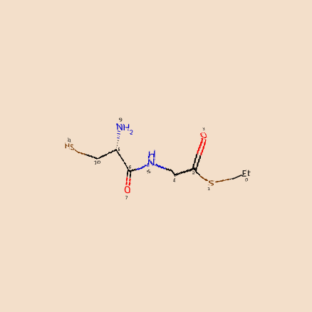 [CH2]CSC(=O)CNC(=O)[C@@H](N)CS